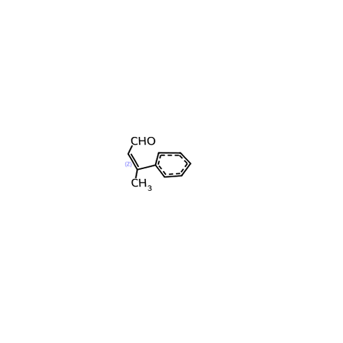 C/C(=C/C=O)c1ccccc1